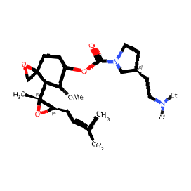 CCN(CC)CC[C@@H]1CCN(C(=O)OC2CCC3(CO3)C([C@@]3(C)O[C@@H]3CC=C(C)C)C2OC)C1